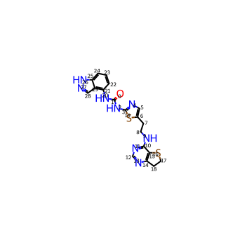 O=C(Nc1ncc(CCNc2ncnc3c2SCC3)s1)Nc1cccc2[nH]ncc12